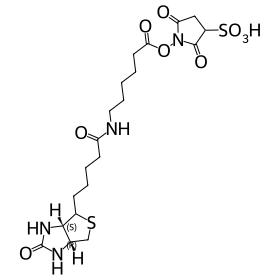 O=C(CCCCC1SC[C@@H]2NC(=O)N[C@H]12)NCCCCCC(=O)ON1C(=O)CC(S(=O)(=O)O)C1=O